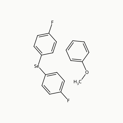 COc1ccccc1.Fc1ccc([Se]c2ccc(F)cc2)cc1